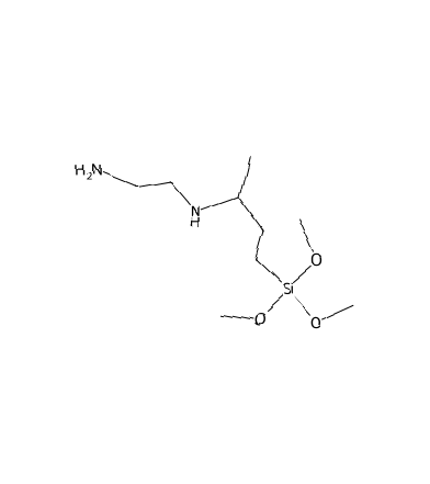 CO[Si](CCC(C)NCCN)(OC)OC